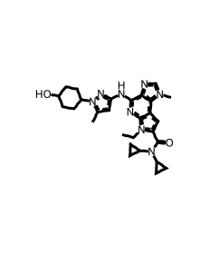 CCn1c(C(=O)N(C2CC2)C2CC2)cc2c3c(ncn3C)c(Nc3cc(C)n(C4CCC(O)CC4)n3)nc21